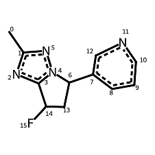 Cc1nc2n(n1)C(c1cccnc1)CC2F